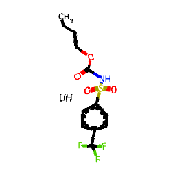 CCCCOC(=O)NS(=O)(=O)c1ccc(C(F)(F)F)cc1.[LiH]